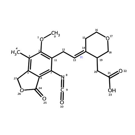 COc1c(C)c2c(c(N=C=O)c1C/C=C1\CCOCC1CC(=O)O)C(=O)OC2